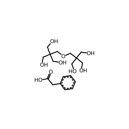 O=C(O)Cc1ccccc1.OCC(CO)(CO)COCC(CO)(CO)CO